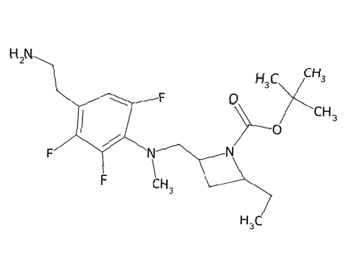 CCC1CC(CN(C)c2c(F)cc(CCN)c(F)c2F)N1C(=O)OC(C)(C)C